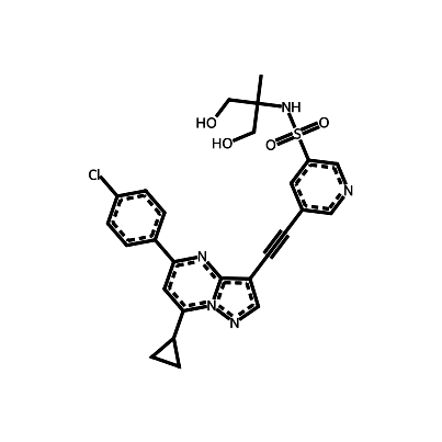 CC(CO)(CO)NS(=O)(=O)c1cncc(C#Cc2cnn3c(C4CC4)cc(-c4ccc(Cl)cc4)nc23)c1